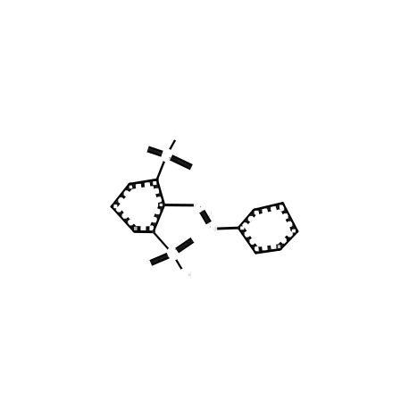 O=S(=O)(O)c1cccc(S(=O)(=O)O)c1/N=N/c1ccccc1